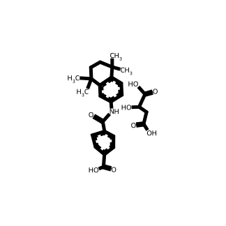 CC1(C)CCC(C)(C)c2cc(NC(=O)c3ccc(C(=O)O)cc3)ccc21.O=C(O)CC(O)C(=O)O